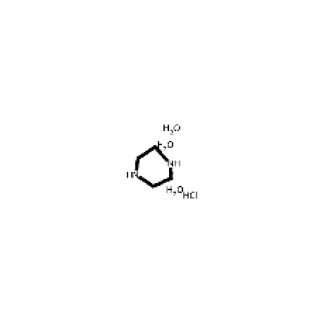 C1CNCCN1.Cl.O.O.O